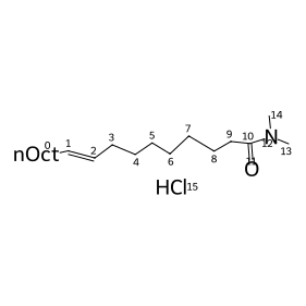 CCCCCCCCC=CCCCCCCCC(=O)N(C)C.Cl